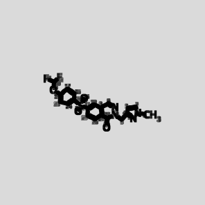 Cn1ccc(Cn2ncc3cc(S(=O)(=O)c4ccc(OC(F)F)cc4)ccc3c2=O)n1